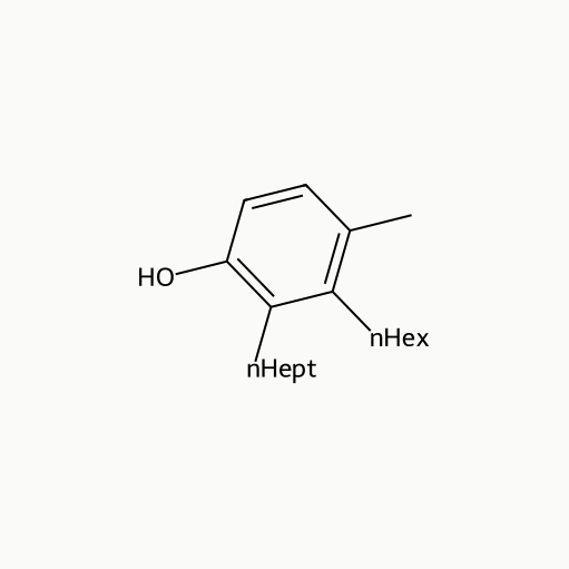 CCCCCCCc1c(O)ccc(C)c1CCCCCC